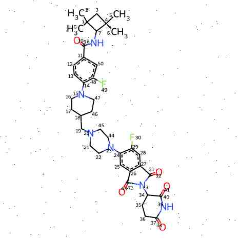 CC1(C)CC(C)(C)C1NC(=O)c1ccc(N2CCC(CN3CCN(c4cc5c(cc4F)C(=O)N(C4CCC(=O)NC4=O)C5=O)CC3)CC2)c(F)c1